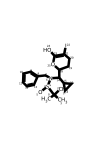 CC(C)(C)[S+]([O-])N(Cc1ccccc1)C(C1CC1)C1CCC(I)=C(O)O1